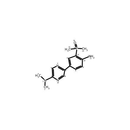 CN(C)c1cnc(-c2ccc(N)c(P(C)(C)=O)c2)cn1